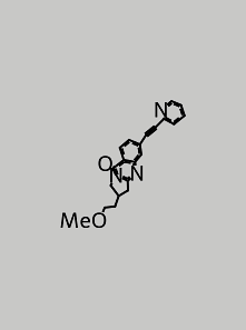 COCCC1Cc2nc3cc(C#Cc4ccccn4)ccc3c(=O)n2C1